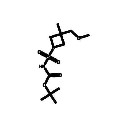 COCC1(C)CN(S(=O)(=O)NC(=O)OC(C)(C)C)C1